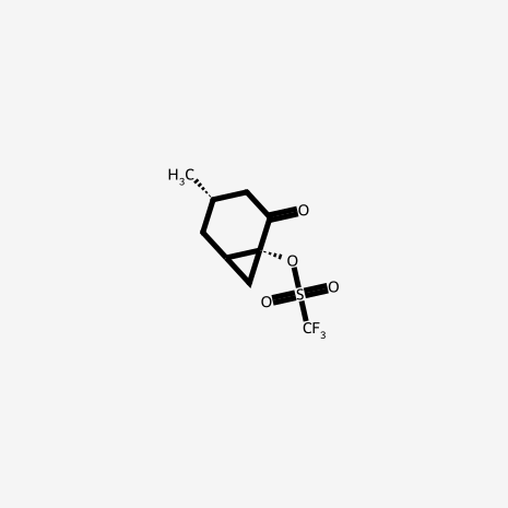 C[C@@H]1CC(=O)[C@@]2(OS(=O)(=O)C(F)(F)F)CC2C1